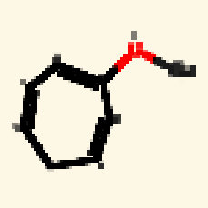 CC(C)(C)OC1=CC=CCC=C1